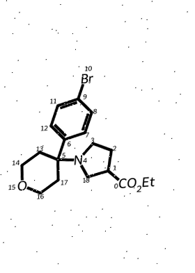 CCOC(=O)C1CCN(C2(c3ccc(Br)cc3)CCOCC2)C1